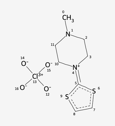 CN1CC[N+](=c2sccs2)CC1.[O-][Cl+3]([O-])([O-])[O-]